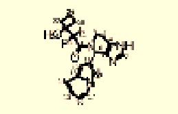 O=C(N1CCc2[nH]cnc2[C@H]1c1cc2ccccn2n1)C(F)(F)C1(O)CCC1